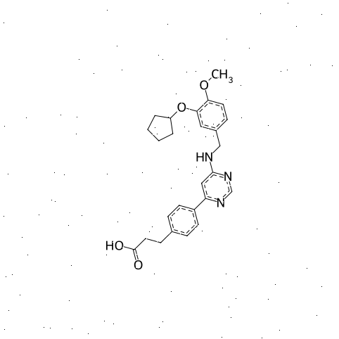 COc1ccc(CNc2cc(-c3ccc(CCC(=O)O)cc3)ncn2)cc1OC1CCCC1